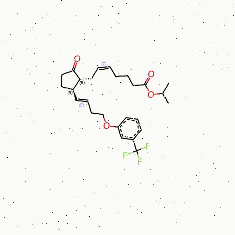 CC(C)OC(=O)CCC/C=C\C[C@H]1C(=O)CC[C@@H]1/C=C/CCOc1cccc(C(F)(F)F)c1